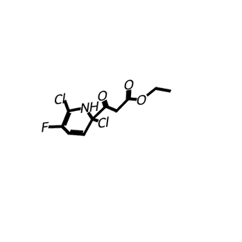 CCOC(=O)CC(=O)C1(Cl)C=CC(F)=C(Cl)N1